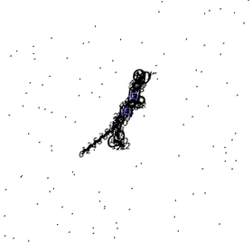 CCCCCCCCCCCCN(CCOC(=O)C(C)(C)CC)c1ccc(/N=N/c2cc(OC)c(/N=N/c3ccc([N+](=O)[O-])cc3)cc2C)cc1